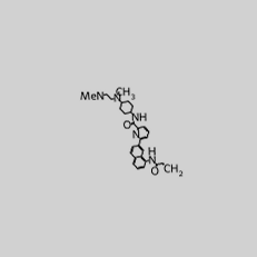 C=CC(=O)Nc1cccc2ccc(-c3cccc(C(=O)NC4CCC(N(C)CCNC)CC4)n3)cc12